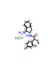 CCC(C(=O)N[C@H]1Cc2ccccc2[C@@H]1N)c1ccc(F)cc1F.Cl